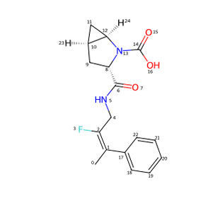 CC(=C(F)CNC(=O)[C@@H]1C[C@H]2C[C@H]2N1C(=O)O)c1ccccc1